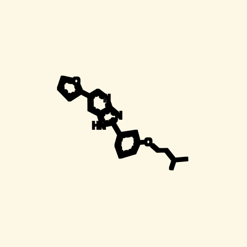 CC(C)CCOc1cccc(-c2nc3ncc(-c4ccco4)cc3[nH]2)c1